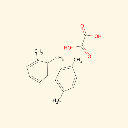 Cc1ccc(C)cc1.Cc1ccccc1C.O=C(O)C(=O)O